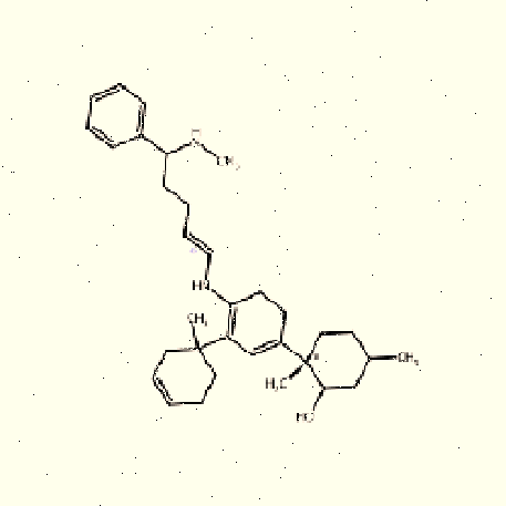 CNC(CC/C=C/NC1=C(C2(C)CC=CCC2)C=C([C@]2(C)CCC(C)CC2O)CC1)c1ccccc1